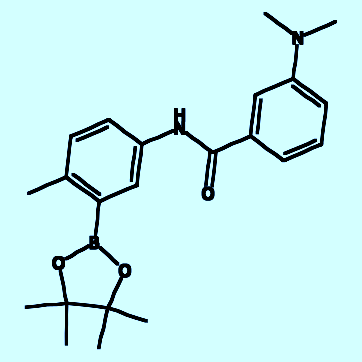 Cc1ccc(NC(=O)c2cccc(N(C)C)c2)cc1B1OC(C)(C)C(C)(C)O1